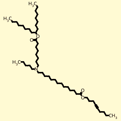 CCCCC#CCCCOC(=O)CCCCCCCCCCCCCN(CCCCC)CCCCCCCC(=O)OC(CCCCCCCC)CCCCCCCC